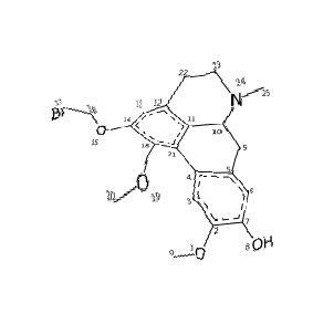 COc1cc2c(cc1O)CC1c3c(cc(OCBr)c(OC)c3-2)CCN1C